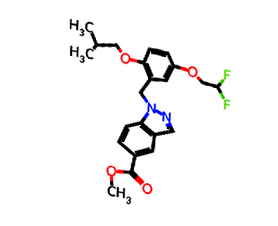 COC(=O)c1ccc2c(cnn2Cc2cc(OCC(F)F)ccc2OCC(C)C)c1